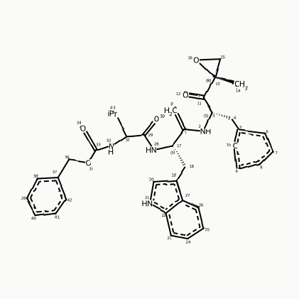 C=C(N[C@@H](Cc1ccccc1)C(=O)[C@@]1(C)CO1)[C@H](Cc1c[nH]c2ccccc12)NC(=O)C(NC(=O)OCc1ccccc1)C(C)C